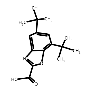 CC(C)(C)c1cc(C(C)(C)C)c2oc(C(=O)O)nc2c1